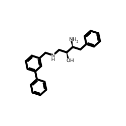 N[C@@H](Cc1ccccc1)[C@@H](O)CNCc1cccc(-c2ccccc2)c1